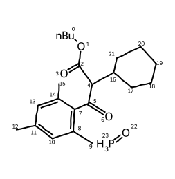 CCCCOC(=O)C(C(=O)c1c(C)cc(C)cc1C)C1CCCCC1.O=[PH3]